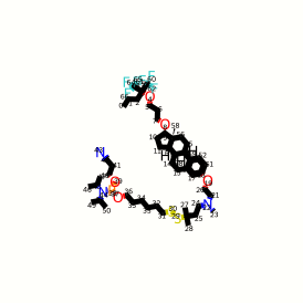 CCCC(OCCCO[C@H]1CC[C@H]2[C@@H]3CCc4cc(OCCN(C)CCC(C)(C)SSCCCCCCOP(OCCC#N)N(C(C)C)C(C)C)ccc4[C@H]3CC[C@]12C)(C(F)(F)F)C(F)(F)F